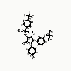 CC(C)(N[C@@H]1C[C@H](c2cccc(OC(F)(F)F)c2)N(c2ccc(Cl)cc2)C1=O)c1ccc(C(F)(F)F)nc1